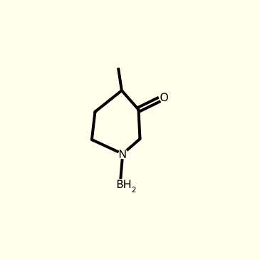 BN1CCC(C)C(=O)C1